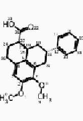 COc1cc2c3c(c1OC)C[C@@H](c1ccccc1)C[C@@H]3[C@H](C(=O)O)CC2